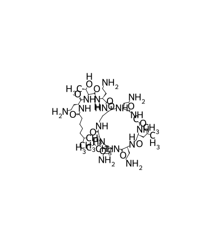 CC(C)CCCCC(=O)N[C@@H](CCN)C(=O)N[C@H](C(=O)N[C@@H](CCN)C(=O)N[C@H]1CCNC(=O)[C@H](CC(C)C)NC(=O)[C@H](CCN)NC(=O)[C@H](CCN)NC(=O)[C@H](CC(C)C)NC(=O)CNC(=O)[C@H](CCN)NC1=O)[C@@H](C)O